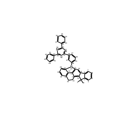 CC1(C)c2ccccc2-c2cc3c4c(c21)CCc1cccc(c14)n3-c1cccc(-c2nc(-c3ccccc3)nc(-c3ccccc3)n2)c1